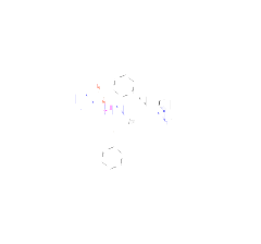 CN(C)CC[C@H](CSc1ccccc1)Nc1c([N+](=O)[O-])cccc1S(N)(=O)=O